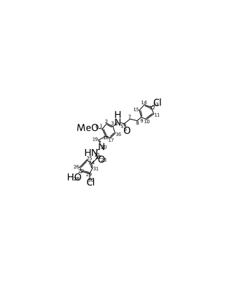 COc1cc(NC(=O)CCc2ccc(Cl)cc2)ccc1/C=N/NC(=O)c1ccc(O)c(Cl)c1